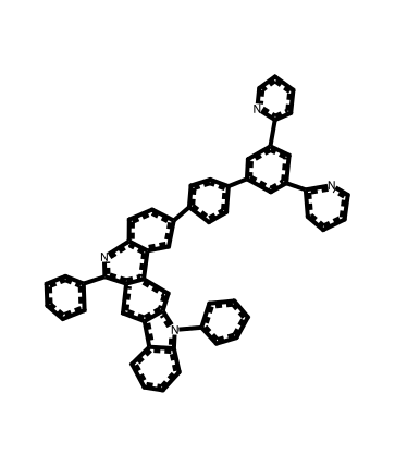 c1ccc(-c2nc3ccc(-c4ccc(-c5cc(-c6ccccn6)cc(-c6ccccn6)c5)cc4)cc3c3cc4c(cc23)c2ccccc2n4-c2ccccc2)cc1